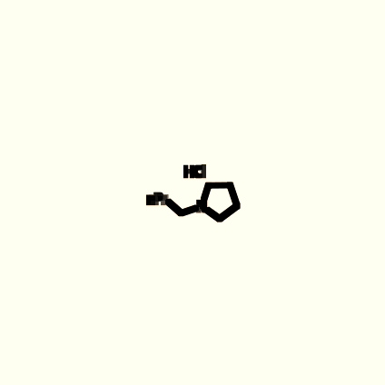 CCCCN1CCCC1.Cl